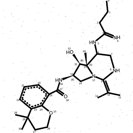 CCCC(=N)NC1CNC(=C(C)C)N2C[C@@H](NC(=O)c3cccc4c3OCCC4(C)C)[C@@H](O)[C@]12C